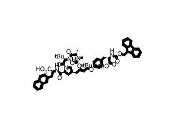 COC(=O)[C@H](Cc1ccc(OCC=CC[C@H]2C[C@@H](C(=O)N[C@@H](Cc3ccc4ccccc4c3)C(=O)O)N(C(=O)[C@@H](NC(=O)[C@H](C)N(C)C(=O)OC(C)(C)C)C(C)(C)C)C2)cc1)NC(=O)OCC1c2ccccc2-c2ccccc21